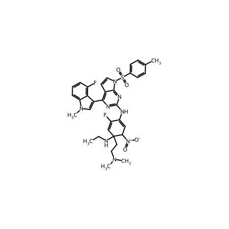 CCNC1(CCN(C)C)C=C(F)C(Nc2nc(-c3cn(C)c4cccc(F)c34)c3ccn(S(=O)(=O)c4ccc(C)cc4)c3n2)=CC1[N+](=O)[O-]